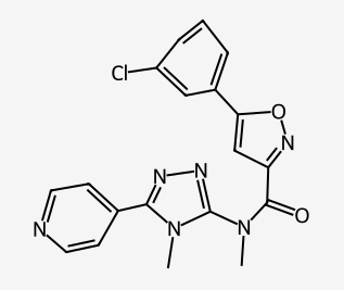 CN(C(=O)c1cc(-c2cccc(Cl)c2)on1)c1nnc(-c2ccncc2)n1C